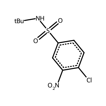 CC(C)(C)NS(=O)(=O)c1ccc(Cl)c([N+](=O)[O-])c1